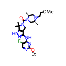 CCOc1ncc(F)c(Nc2n[nH]c3c2CN(C(=O)N2C[C@@H](C)N(CCOC)C[C@@H]2C)C3(C)C)n1